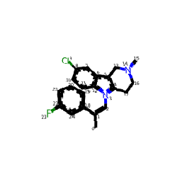 C/C(=C/n1c2c(c3cc(Cl)ccc31)CN(C)CC2)c1cccc(F)c1